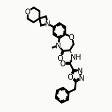 CN1C(=O)[C@@H](NC(=O)c2nnc(Cc3ccccc3)o2)COc2ccc(N3CC4(CCOCC4)C3)cc21